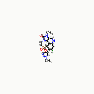 Cn1cc(-c2c(F)cc3ncc4c5c3c2S(=O)(=O)CCn5c(=O)n4C)cn1